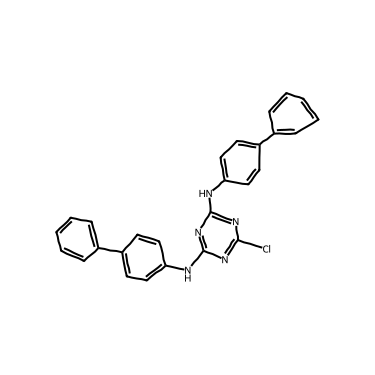 Clc1nc(Nc2ccc(-c3ccccc3)cc2)nc(Nc2ccc(-c3ccccc3)cc2)n1